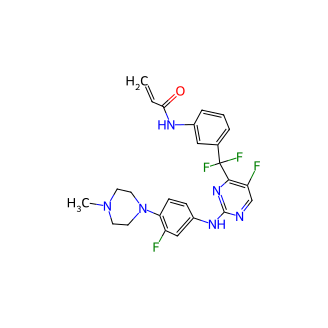 C=CC(=O)Nc1cccc(C(F)(F)c2nc(Nc3ccc(N4CCN(C)CC4)c(F)c3)ncc2F)c1